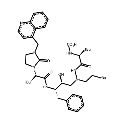 CC[C@H](C)[C@@H](C(=O)N[C@@H](Cc1ccccc1)[C@@H](O)CN(CCC(C)(C)C)NC(=O)[C@@H](NC(=O)O)C(C)(C)C)N1CCN(Cc2ccnc3ccccc23)C1=O